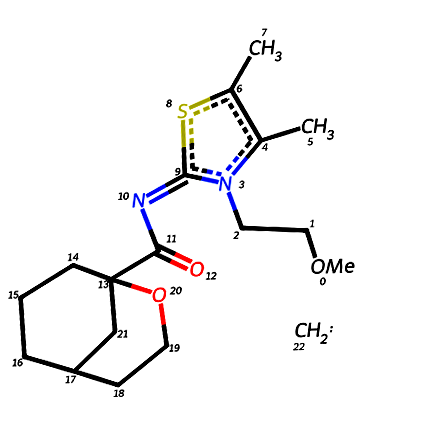 COCCn1c(C)c(C)sc1=NC(=O)C12CCCC(CCO1)C2.[CH2]